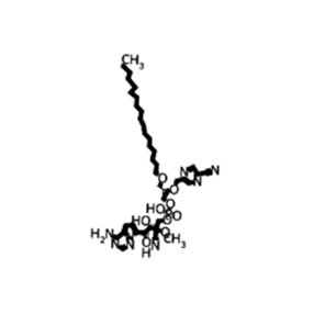 CCCCCCCCCCCCCCCCCCOC[C@@H](COP(=O)(O)OCC(C#N)(OC)[C@@H](O)[C@@H](O)c1ccc2c(N)ncnn12)OCc1cnc(C#N)cn1